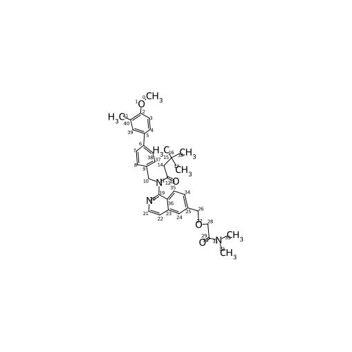 COc1ccc(-c2ccc(CN(C(=O)CC(C)(C)C)c3nccc4cc(COCC(=O)N(C)C)ccc34)cc2)cc1C